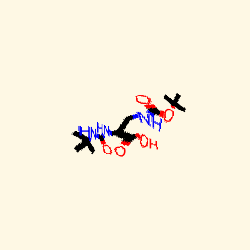 CC(C)(C)NC(=O)NC(CNC(=O)OC(C)(C)C)C(=O)O